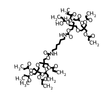 C=CC(=O)OCC(COCC(COC(=O)C=C)(COC(=O)NCCCCCCNC(=O)OCC(COCC(COC(=O)C=C)(COC(=O)C=C)COC(C=C)OC)(COC(=O)C=C)COC(=O)C=C)COC(O)C=C)(COC(=O)C=C)COC(=O)C=C